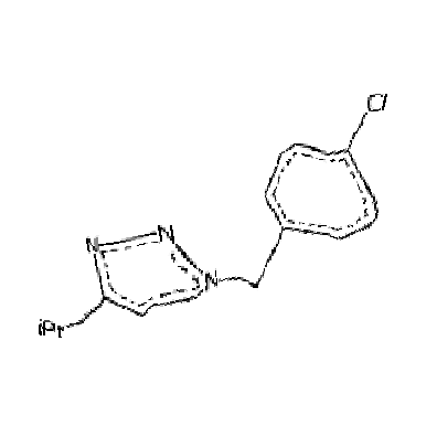 CC(C)c1cn(Cc2ccc(Cl)cc2)nn1